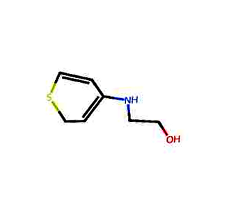 OCCNC1=CCSC=C1